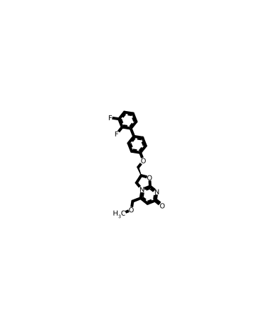 COCc1cc(=O)nc2n1C[C@@H](COc1ccc(-c3cccc(F)c3F)cc1)O2